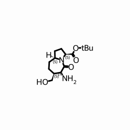 CC(C)(C)OC(=O)[C@@H]1CC[C@@H]2CC[C@H](CO)[C@H](N)C(=O)N21